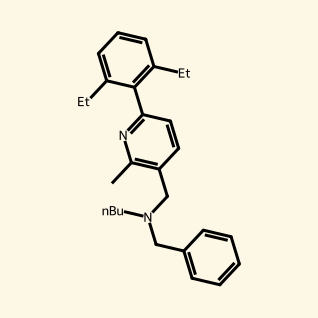 CCCCN(Cc1ccccc1)Cc1ccc(-c2c(CC)cccc2CC)nc1C